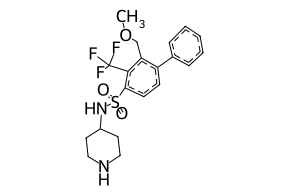 COCc1c(-c2ccccc2)ccc(S(=O)(=O)NC2CCNCC2)c1C(F)(F)F